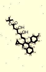 CC(C)(C)OC(=O)CC(O)CC(O)C=Cc1c(C2CC2)nc2ccccc2c1-c1ccc(F)cc1